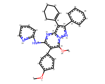 COc1ccc(-c2c(Nc3ccccn3)nc3c(C4=CCCCC4)c(-c4ccccc4)nn3c2OC)cc1